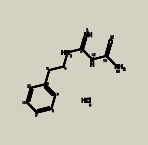 Cl.N=C(NCCc1ccccc1)NC(N)=O